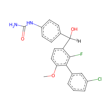 [2H]C(O)(c1ccc(NC(N)=O)cc1)c1ccc(OC)c(-c2cccc(Cl)c2)c1F